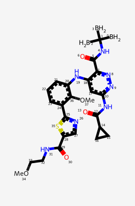 BC(B)(B)NC(=O)c1nnc(NC(=O)C2CC2)cc1Nc1cccc(-c2ncc(C(=O)NCCOC)s2)c1OC